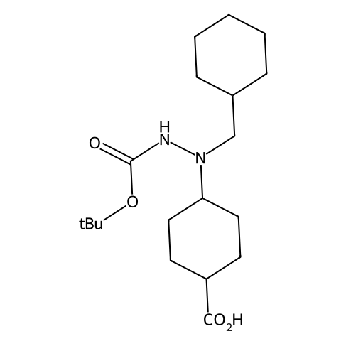 CC(C)(C)OC(=O)NN(CC1CCCCC1)C1CCC(C(=O)O)CC1